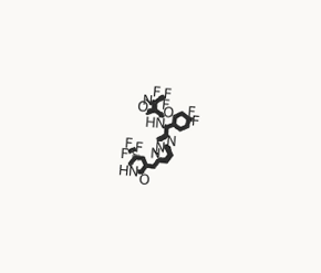 O=C(NC(c1cn2nc(CC3C[C@@H](C(F)(F)F)CNC3=O)ccc2n1)C1CCC(F)(F)CC1)c1conc1C(F)(F)F